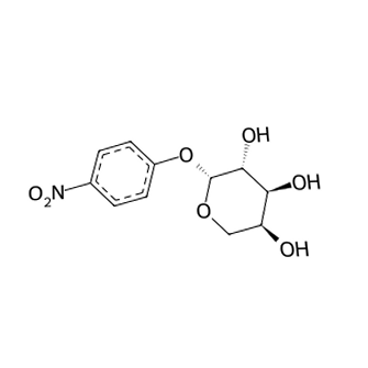 O=[N+]([O-])c1ccc(O[C@H]2OC[C@H](O)[C@H](O)[C@H]2O)cc1